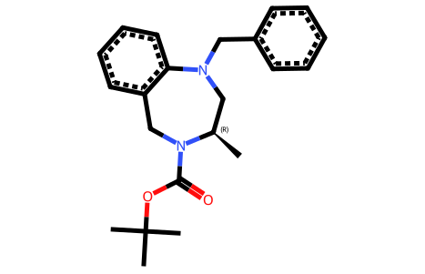 C[C@@H]1CN(Cc2ccccc2)c2ccccc2CN1C(=O)OC(C)(C)C